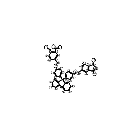 O=C1OC(=O)c2cc(COc3ccc(C4(c5ccc(OCc6ccc7c(c6)C(=O)OC7=O)cc5)c5ccccc5-c5ccccc54)cc3)ccc21